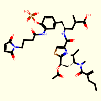 C=C(CCC)C(=O)N(C)[C@H](C[C@@H](OC(C)=O)c1nc(C(=O)N[C@@H](Cc2ccc(OS(=O)(=O)O)c(NC(=O)CCCN3C(=O)C=CC3=O)c2)CC(C)C(=O)O)cs1)C(C)C